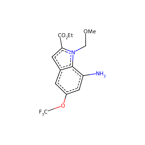 CCOC(=O)c1cc2cc(OC(F)(F)F)cc(N)c2n1COC